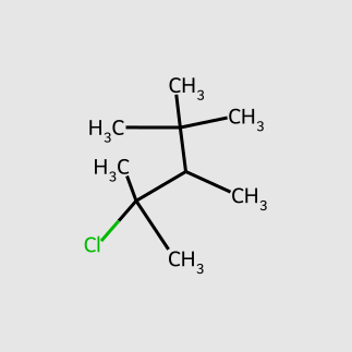 CC(C(C)(C)C)C(C)(C)Cl